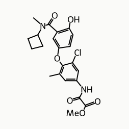 COC(=O)C(=O)Nc1cc(C)c(Oc2ccc(O)c(C(=O)N(C)C3CCC3)c2)c(Cl)c1